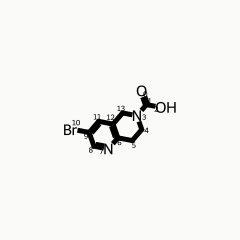 O=C(O)N1CCc2ncc(Br)cc2C1